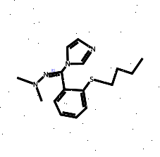 CCCCSc1ccccc1/C(=N\N(C)C)n1ccnc1